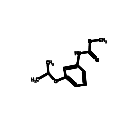 COC(=O)Nc1cccc(OC(C)C)c1